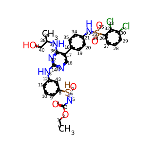 CCOC(=O)/N=[SH](=O)\c1cccc(Nc2ncc(-c3ccc(NS(=O)(=O)c4cccc(Cl)c4Cl)cc3)c(NC(C)CO)n2)c1